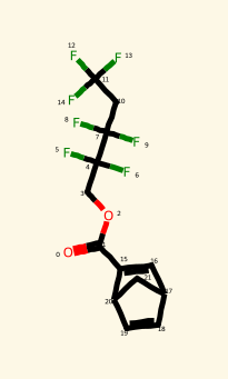 O=C(OCC(F)(F)C(F)(F)CC(F)(F)F)C1=CC2C=CC1C2